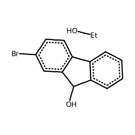 CCO.OC1c2ccccc2-c2ccc(Br)cc21